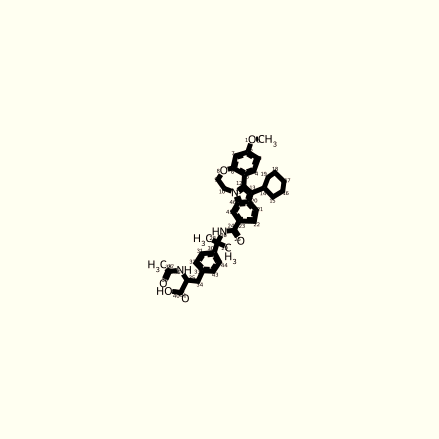 COc1ccc2c(c1)OCCn1c-2c(C2CCCCC2)c2ccc(C(=O)NC(C)(C)c3ccc(CC(NC(C)=O)C(=O)O)cc3)cc21